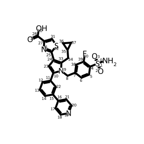 NS(=O)(=O)c1ccc(Cn2c(-c3cccc(-c4ccncc4)c3)cc(-c3nc(C(=O)O)cs3)c2CC2CC2)cc1F